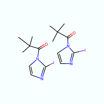 CC(C)(C)C(=O)n1ccnc1I.CC(C)(C)C(=O)n1ccnc1I